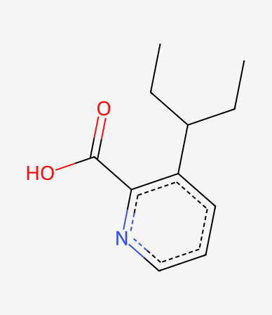 CCC(CC)c1cccnc1C(=O)O